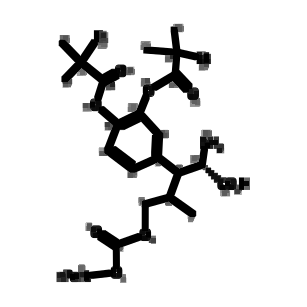 CCCCCOC(=O)OCC(C)C(c1ccc(OC(=O)C(C)(C)CC)c(OC(=O)C(C)(C)CC)c1)[C@H](N)C(=O)O